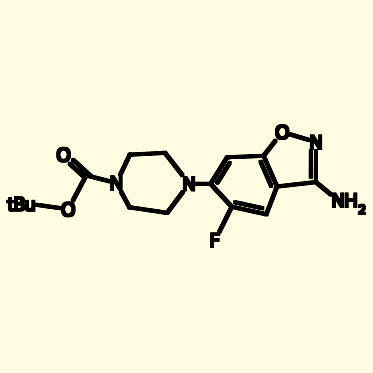 CC(C)(C)OC(=O)N1CCN(c2cc3onc(N)c3cc2F)CC1